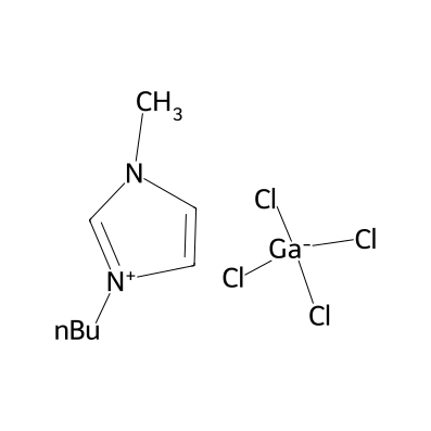 CCCC[n+]1ccn(C)c1.[Cl][Ga-]([Cl])([Cl])[Cl]